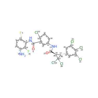 Nc1ccc(F)c(NC(=O)c2cc(NC(=O)[C@H]3[C@H](c4cc(Cl)c(Cl)c(Cl)c4)C3(Cl)Cl)ccc2Cl)c1F